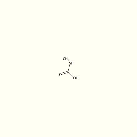 C.OC(=S)S